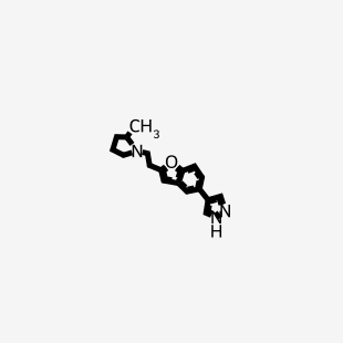 CC1CCCN1CCc1cc2cc(-c3cn[nH]c3)ccc2o1